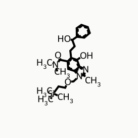 Cc1nc2c(O)c(CCC(O)c3ccccc3)c(C(=O)N(C)C)cc2n1COCC[Si](C)(C)C